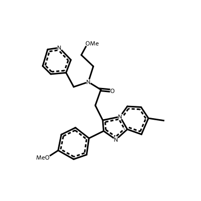 COCCN(Cc1cccnc1)C(=O)Cc1c(-c2ccc(OC)cc2)nc2cc(C)ccn12